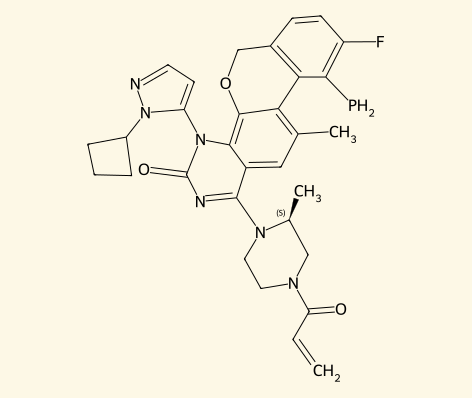 C=CC(=O)N1CCN(c2nc(=O)n(-c3ccnn3C3CCC3)c3c4c(c(C)cc23)-c2c(ccc(F)c2P)CO4)[C@@H](C)C1